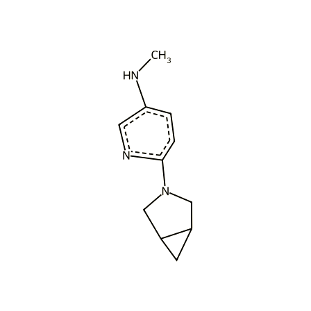 CNc1ccc(N2CC3CC3C2)nc1